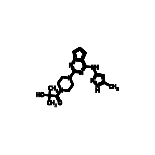 Cc1cc(Nc2nc(N3CCN(C(=O)C(C)(C)O)CC3)nn3cccc23)n[nH]1